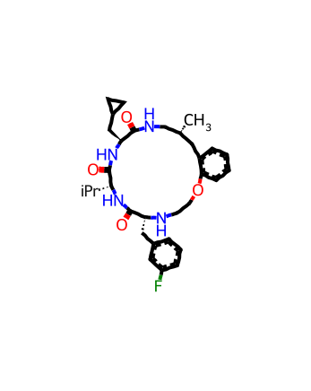 CC(C)[C@H]1NC(=O)[C@@H](Cc2cccc(F)c2)NCCOc2ccccc2C[C@@H](C)CNC(=O)[C@H](CC2CC2)NC1=O